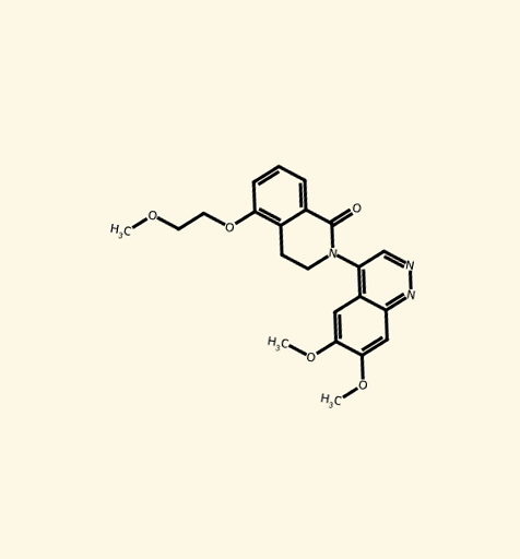 COCCOc1cccc2c1CCN(c1cnnc3cc(OC)c(OC)cc13)C2=O